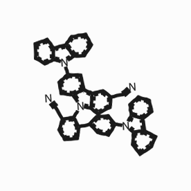 N#Cc1ccc2c(c1)c1cc(-n3c4ccccc4c4ccccc43)ccc1n2-c1c(C#N)cccc1-c1ccc(-n2c3ccccc3c3ccccc32)cc1